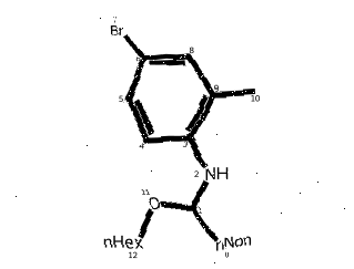 CCCCCCCCCC(Nc1ccc(Br)cc1C)OCCCCCC